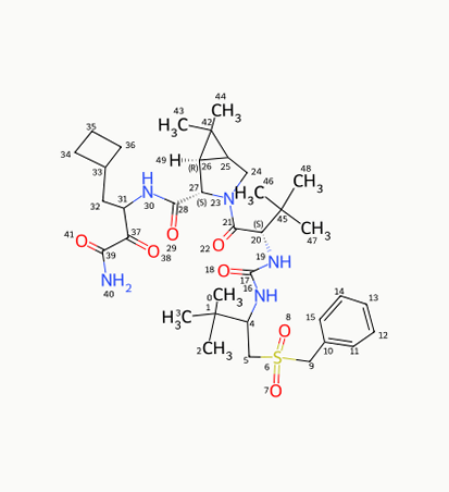 CC(C)(C)C(CS(=O)(=O)Cc1ccccc1)NC(=O)N[C@H](C(=O)N1CC2[C@@H]([C@H]1C(=O)NC(CC1CCC1)C(=O)C(N)=O)C2(C)C)C(C)(C)C